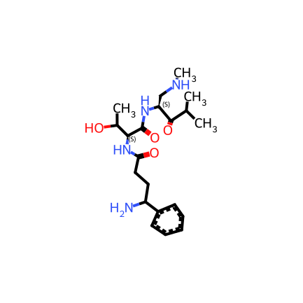 CNC[C@H](NC(=O)[C@@H](NC(=O)CCC(N)c1ccccc1)C(C)O)C(=O)C(C)C